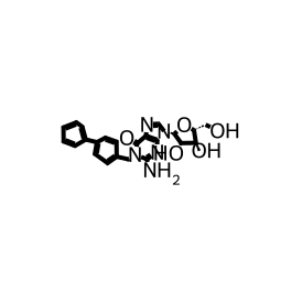 Nc1nc2c(ncn2[C@@H]2O[C@H](CO)[C@@H](O)[C@H]2O)c(=O)n1Cc1ccc(-c2ccccc2)cc1